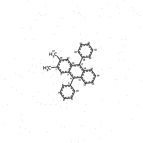 Cc1cc2c(-c3ccccc3)c3ccccc3c(-c3ccccc3)c2cc1C